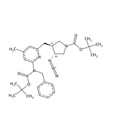 Cc1cc(C[C@H]2CN(C(=O)OC(C)(C)C)C[C@@H]2N=[N+]=[N-])nc(N(Cc2ccccc2)C(=O)OC(C)(C)C)c1